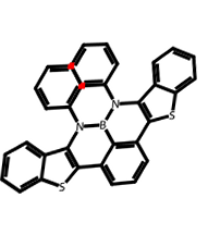 c1ccc(N2B3c4c(cccc4-c4sc5ccccc5c4N3c3ccccc3)-c3sc4ccccc4c32)cc1